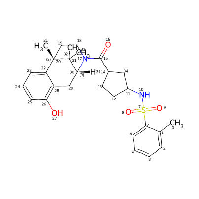 Cc1ccccc1S(=O)(=O)NC1CCC(C(=O)N2CC[C@@]3(C)c4cccc(O)c4C[C@@H]2C3(C)C)C1